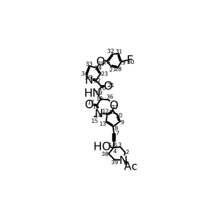 CC(=O)N1CCC(O)(C#Cc2ccc3c(c2)N(C)C(=O)C(NC(=O)c2cc(Oc4ccc(F)cc4)ccn2)CO3)CC1